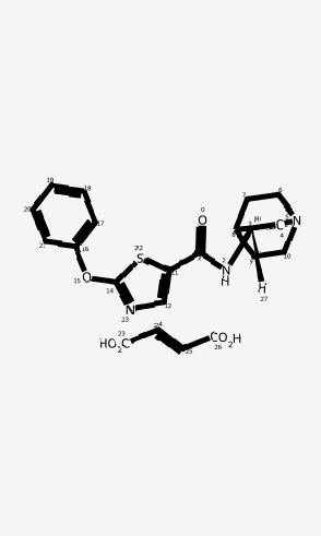 O=C(N[C@H]1CN2CCC1CC2)c1cnc(Oc2ccccc2)s1.O=C(O)C=CC(=O)O